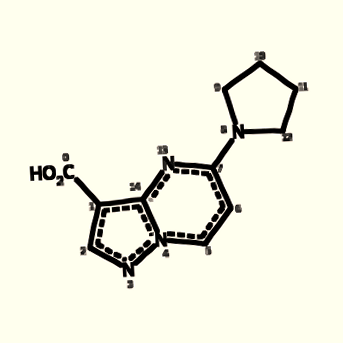 O=C(O)c1cnn2ccc(N3CCCC3)nc12